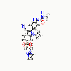 CC(C)NC(=O)Nc1ccc(-c2c(C#N)c3ccc(S(=O)(=O)CCn4cccn4)cc3n2C2CCC2)cc1